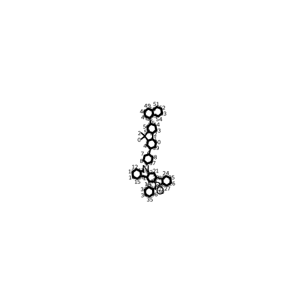 CC1(C)c2cc(-c3ccc(-n4c5ccccc5c5cc6c(cc54)-c4ccccc4P6(=O)c4ccccc4)cc3)ccc2-c2ccc(-c3cccc4ccccc34)cc21